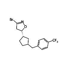 FC(F)(F)c1ccc(CC2CC[C@H](C3CC(Br)=NO3)C2)cc1